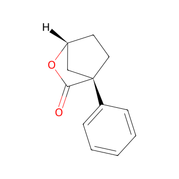 O=C1O[C@@H]2CC[C@@]1(c1ccccc1)C2